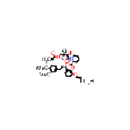 C=CC(=O)OCC(C)(C)C(=O)C(=O)N1CCCC[C@H]1C(=O)O[C@H](CCc1ccc(OC)c(OC)c1)c1cccc(OCCC(=O)O)c1